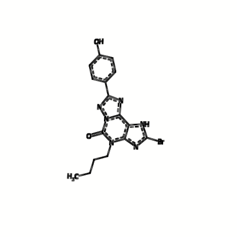 CCCCn1c(=O)n2nc(-c3ccc(O)cc3)nc2c2[nH]c(Br)nc21